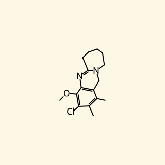 COc1c(Cl)c(C)c(C)c2c1N=C1CCCCCN1C2